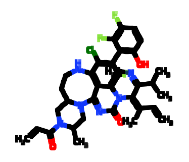 C=CC(=O)N1CC2CCNc3c(Cl)c(-c4c(O)ccc(F)c4F)c(F)c4c3c(nc(=O)n4C(/C(=N\C)C(C)C)=C(\C)C=C)N2CC1C